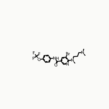 CN(C)CCCN(C)c1ncc(C(=O)Nc2ccc(OC(F)(F)F)cc2)cc1Br